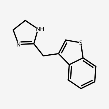 c1ccc2c(CC3=NCCN3)csc2c1